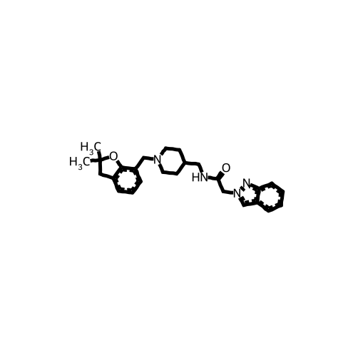 CC1(C)Cc2cccc(CN3CCC(CNC(=O)Cn4cc5ccccc5n4)CC3)c2O1